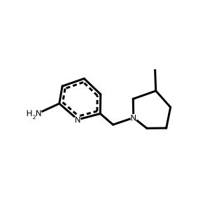 CC1CCCN(Cc2cccc(N)n2)C1